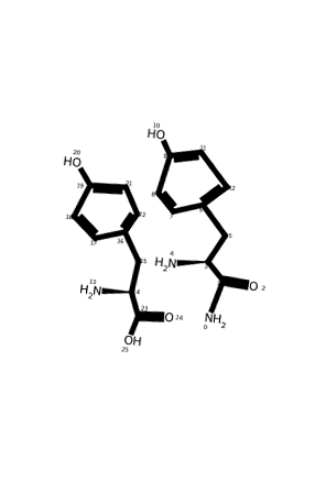 NC(=O)[C@@H](N)Cc1ccc(O)cc1.N[C@@H](Cc1ccc(O)cc1)C(=O)O